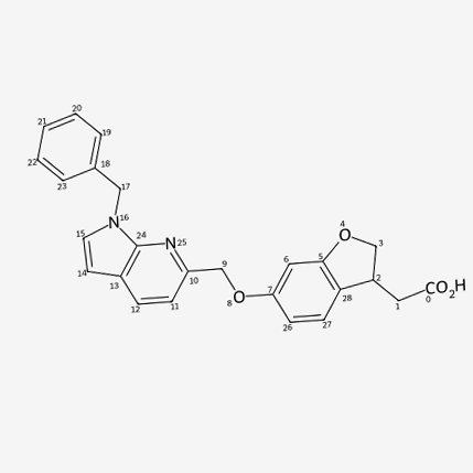 O=C(O)CC1COc2cc(OCc3ccc4ccn(Cc5ccccc5)c4n3)ccc21